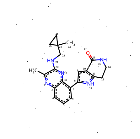 Cc1nc2cccc(-c3cc4c([nH]3)CCNC4=O)c2nc1NCC1(C)CC1